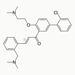 CN(C)CCOc1ccc(-c2ccccc2Cl)cc1C(=O)/C=C/c1ccccc1CN(C)C